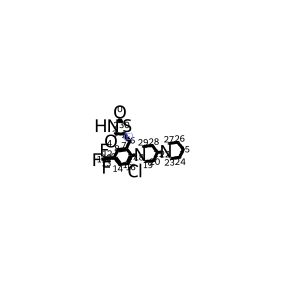 O=C1NC(=O)/C(=C\c2cc(C(F)(F)F)cc(Cl)c2N2CCC(N3CCCCC3)CC2)S1